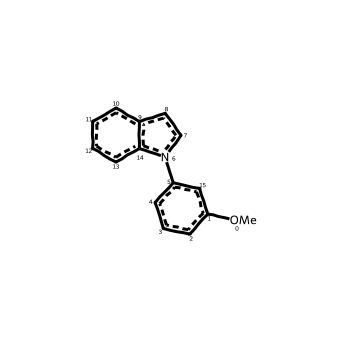 COc1cccc(-n2ccc3ccccc32)c1